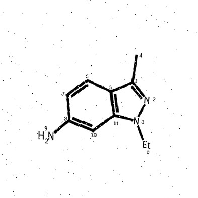 CCn1nc(C)c2ccc(N)cc21